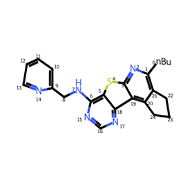 CCCCc1nc2sc3c(NCc4ccccn4)ncnc3c2c2c1CCC2